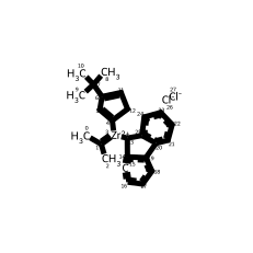 C[C](C)=[Zr+2]([C]1=CC(C(C)(C)C)=CC1)[CH]1c2ccccc2-c2ccccc21.[Cl-].[Cl-]